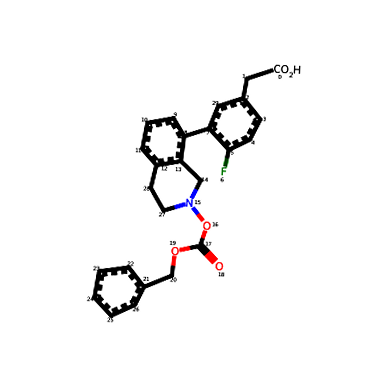 O=C(O)Cc1ccc(F)c(-c2cccc3c2CN(OC(=O)OCc2ccccc2)CC3)c1